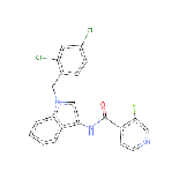 O=C(Nc1cn(Cc2ccc(Cl)cc2Cl)c2ccccc12)c1ccncc1F